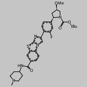 CO[C@@H]1C[C@H](c2ccc(-c3cn4c(n3)sc3cc(C(=O)NC5CCN(C)CC5)ccc34)c(F)c2)N(C(=O)OC(C)(C)C)C1